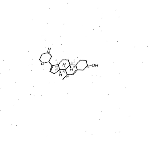 C[C@@H]1C=C2C[C@@H](O)CC[C@]2(C)[C@H]2CC[C@]3(C)C(C4CNCCO4)=CC[C@H]3[C@H]12